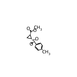 COC(=O)[C@@H]1C[C@H]1S(=O)(=O)c1ccc(C)cc1